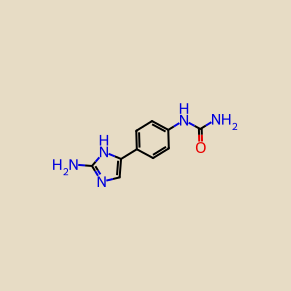 NC(=O)Nc1ccc(-c2cnc(N)[nH]2)cc1